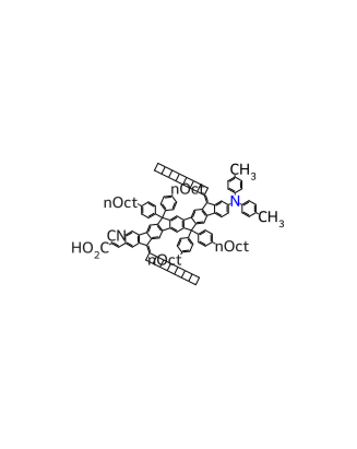 CCCCCCCCc1ccc(C2(c3ccc(CCCCCCCC)cc3)c3cc4c(cc3-c3cc5c(cc32)-c2cc3c(cc2C5(c2ccc(CCCCCCCC)cc2)c2ccc(CCCCCCCC)cc2)-c2ccc(N(c5ccc(C)cc5)c5ccc(C)cc5)cc2/C3=C2\CC3C2C2C3C3C5C6C7CCC7C6C5C23)/C(=C2/CC3C2C2C3C3C5C6C7CCC7C6C5C23)c2cc(/C=C(\C#N)C(=O)O)ccc2-4)cc1